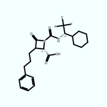 O=C(O)[C@@H]1C(CCCc2ccccc2)C(=O)N1C(=O)N[C@@H](C1CCCCC1)C(F)(F)F